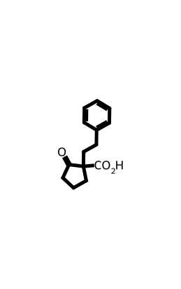 O=C(O)C1(CCc2ccccc2)CCCC1=O